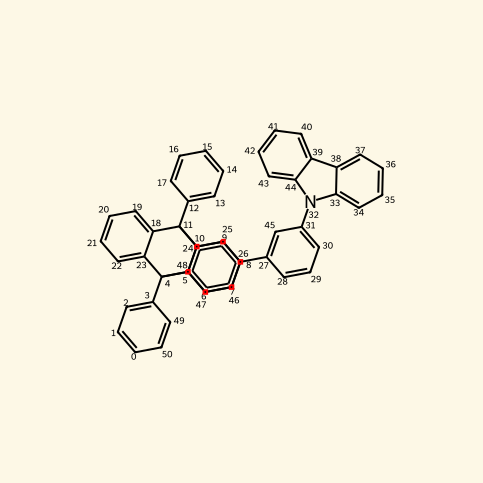 c1ccc(C23c4ccccc4C(c4ccccc4)(c4ccccc42)c2cc(-c4cccc(-n5c6ccccc6c6ccccc65)c4)ccc23)cc1